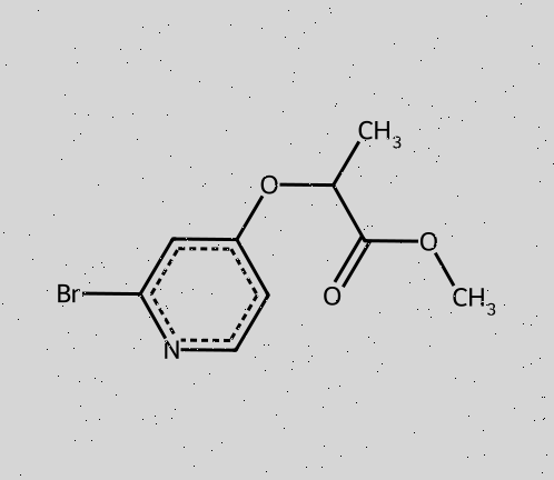 COC(=O)C(C)Oc1ccnc(Br)c1